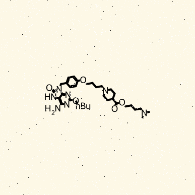 CCCCOc1nc(N)c2[nH]c(=O)n(Cc3ccc(OCCCCN4CCC(C(=O)OCCCCN(C)C)CC4)cc3)c2n1